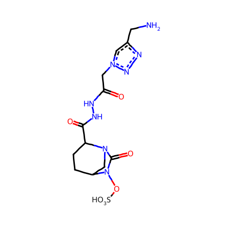 NCc1cn(CC(=O)NNC(=O)C2CCC3CN2C(=O)N3OS(=O)(=O)O)nn1